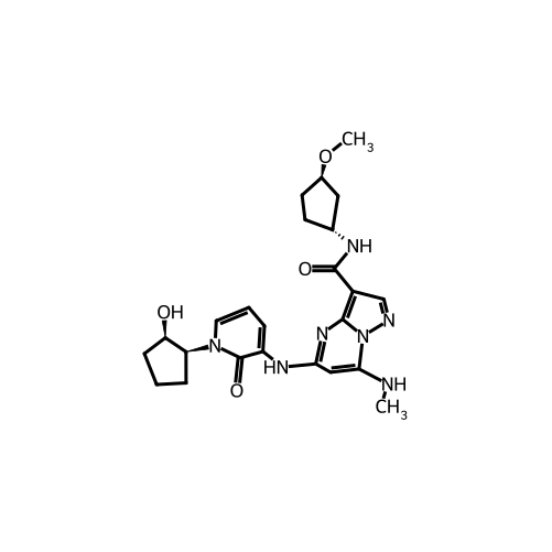 CNc1cc(Nc2cccn([C@H]3CCC[C@H]3O)c2=O)nc2c(C(=O)N[C@@H]3CC[C@@H](OC)C3)cnn12